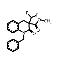 COC(=O)C1(C(F)F)Cc2ccccc2N(Cc2ccccc2)C1=O